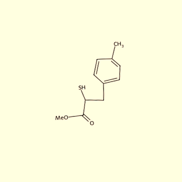 COC(=O)C(S)Cc1ccc(C)cc1